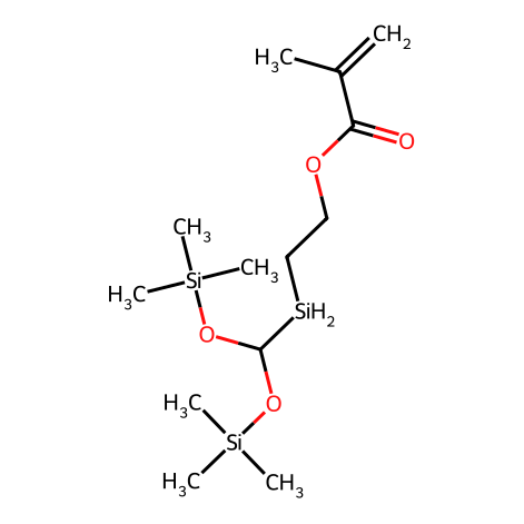 C=C(C)C(=O)OCC[SiH2]C(O[Si](C)(C)C)O[Si](C)(C)C